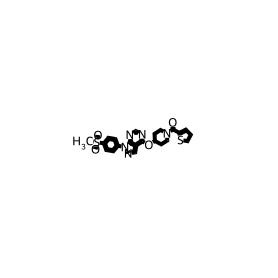 CS(=O)(=O)c1ccc(-n2ncc3c(OC4CCN(C(=O)C5=CCCS5)CC4)ncnc32)cc1